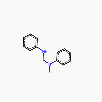 CN(CNc1ccccc1)c1ccccc1